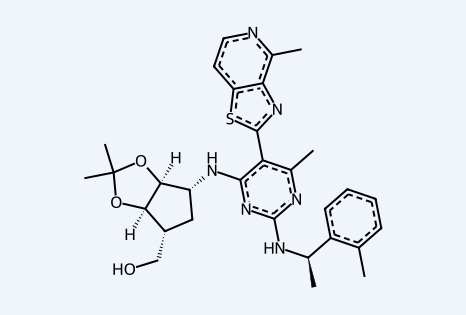 Cc1ccccc1[C@@H](C)Nc1nc(C)c(-c2nc3c(C)nccc3s2)c(N[C@@H]2C[C@H](CO)[C@H]3OC(C)(C)O[C@H]32)n1